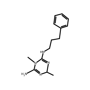 CC1N=C(N)N(C)C(NCCCc2ccccc2)=N1